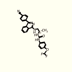 C[C@@H](CNc1nnc(-c2ccc(C#N)cc2)c2ccccc12)NC(=O)Nc1ccc(OC(F)F)cc1